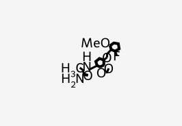 COc1cccc(F)c1COc1ccc(CNC(C)C(N)=O)c2c1OCO2